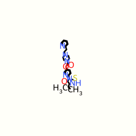 CC(C)C1NC(=S)N(c2ccc(OC(=O)N3CCN(CCc4ccccn4)CC3)cn2)C1=O